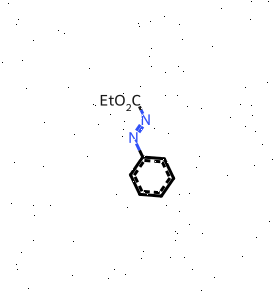 CCOC(=O)N=Nc1ccccc1